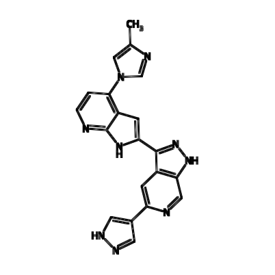 Cc1cn(-c2ccnc3[nH]c(-c4n[nH]c5cnc(-c6cn[nH]c6)cc45)cc23)cn1